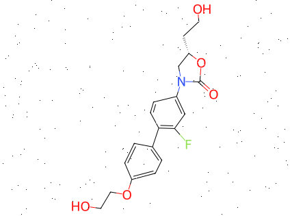 O=C1O[C@@H](CCO)CN1c1ccc(-c2ccc(OCCO)cc2)c(F)c1